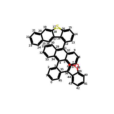 c1ccc(-c2c3ccccc3c(-c3cccc4sc5cc6ccccc6cc5c34)c3ccccc23)c(-c2coc3ccccc23)c1